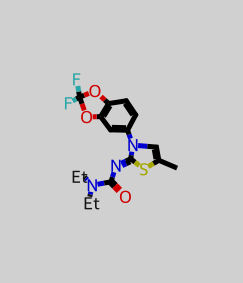 CCN(CC)C(=O)N=c1sc(C)cn1-c1ccc2c(c1)OC(F)(F)O2